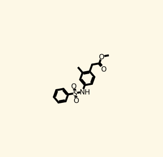 COC(=O)Cc1ccc(NS(=O)(=O)c2ccccc2)cc1C